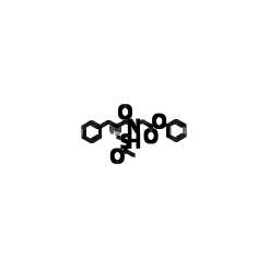 CC(=O)SC[C@H](Cc1ccccc1)C(=O)NCC(=O)Oc1ccccc1